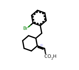 O=C(O)/C=C1\CCCCC1Cc1ccccc1Br